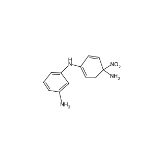 Nc1cccc(NC2=CCC(N)([N+](=O)[O-])C=C2)c1